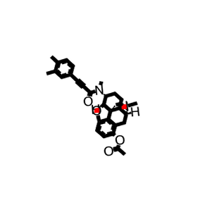 CC(=O)Oc1ccc2c3c1C[C@@H]1[C@@H]4CC[C@@H](N(C)C(=O)C#Cc5ccc(C)c(C)c5)[C@H](O2)[C@]34CCN1C